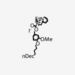 CCCCCCCCCCCCCCOc1ccc(COC(=O)N(Cc2cccc[n+]2CC)C(C)=O)cc1OC.[I-]